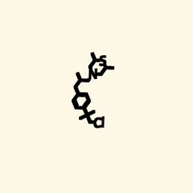 CC(Cc1ccc(C(C)(C)CCl)cc1)CN1CC(C)SC(C)C1